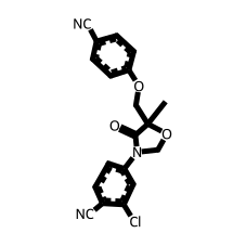 CC1(COc2ccc(C#N)cc2)OCN(c2ccc(C#N)c(Cl)c2)C1=O